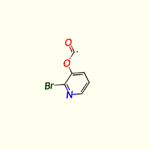 O=[C]Oc1cccnc1Br